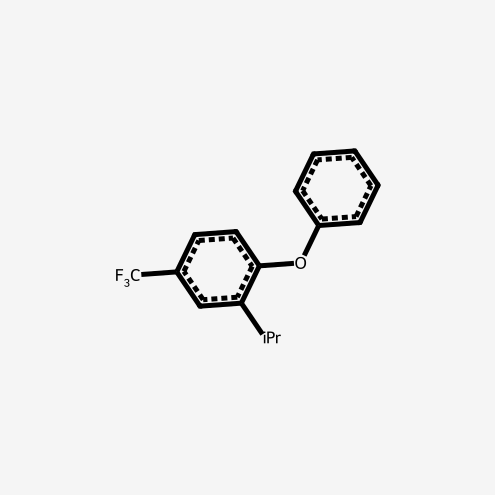 CC(C)c1cc(C(F)(F)F)ccc1Oc1ccccc1